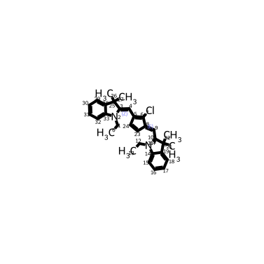 CCN1/C(=C\C2=C(Cl)C(=C/C3=[N+](CC)c4ccccc4C3(C)C)/C=C2)C(C)(C)c2ccccc21